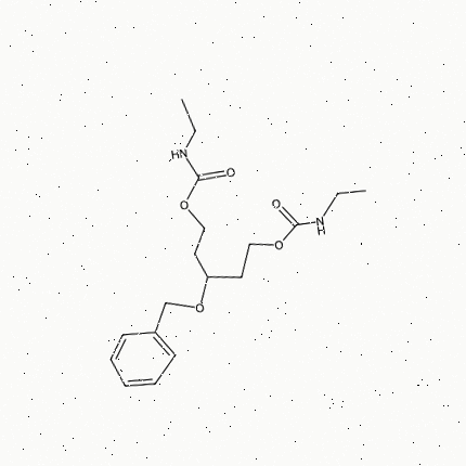 CCNC(=O)OCCC(CCOC(=O)NCC)OCc1ccccc1